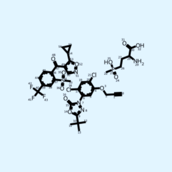 C#CCOc1cc(-n2nc(C(C)(C)C)oc2=O)c(Cl)cc1Cl.CP(=O)(O)CCC(N)C(=O)O.CS(=O)(=O)c1cc(C(F)(F)F)ccc1C(=O)c1cnoc1C1CC1